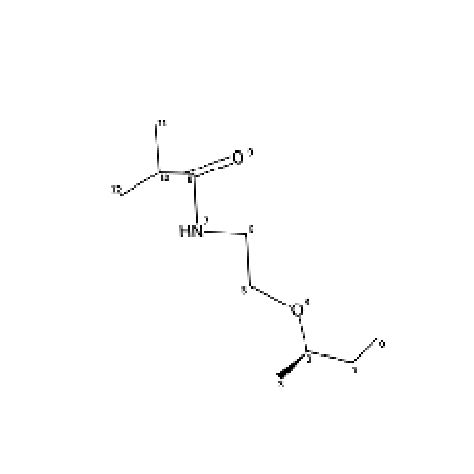 CC[C@@H](C)OCCNC(=O)C(C)C